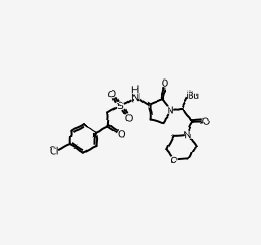 CCC(C)C(C(=O)N1CCOCC1)N1CCC(NS(=O)(=O)CC(=O)c2ccc(Cl)cc2)C1=O